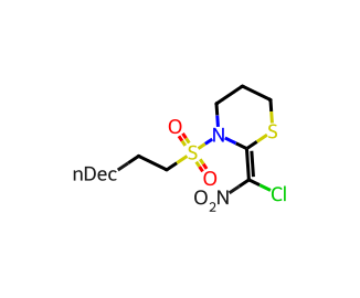 CCCCCCCCCCCCS(=O)(=O)N1CCCSC1=C(Cl)[N+](=O)[O-]